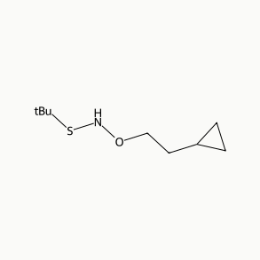 CC(C)(C)SNOCCC1CC1